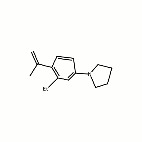 C=C(C)c1ccc(N2CCCC2)cc1CC